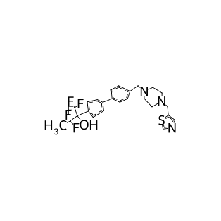 CC(F)(F)C(O)(c1ccc(-c2ccc(CN3CCN(Cc4cncs4)CC3)cc2)cc1)C(F)(F)F